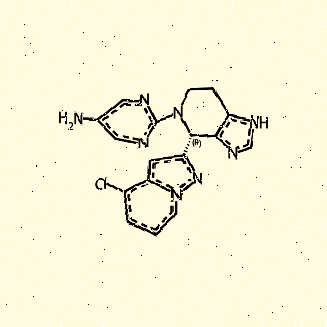 Nc1cnc(N2CCc3[nH]cnc3[C@@H]2c2cc3c(Cl)cccn3n2)nc1